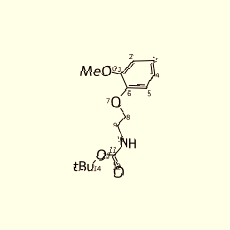 COc1c[c]ccc1OCCNC(=O)OC(C)(C)C